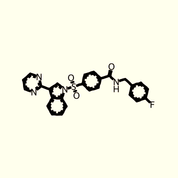 O=C(NCc1ccc(F)cc1)c1ccc(S(=O)(=O)n2cc(-c3ncccn3)c3ccccc32)cc1